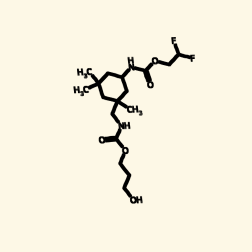 CC1(C)CC(NC(=O)OCC(F)F)CC(C)(CNC(=O)OCCCO)C1